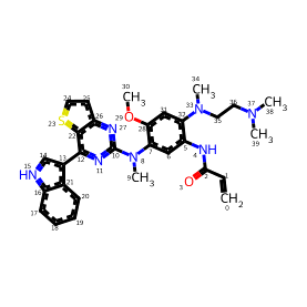 C=CC(=O)Nc1cc(N(C)c2nc(-c3c[nH]c4ccccc34)c3sccc3n2)c(OC)cc1N(C)CCN(C)C